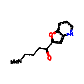 CNCCCC(=O)c1cc2ncccc2o1